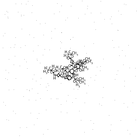 CN(C(=O)OC(C)(C)C)[C@@H]1[C@@H](O)[C@@H](O[C@H]2[C@H](NC(=O)C3(O)CN(C(=O)OC(C)(C)C)C3)C[C@H](NC(=O)OC(C)(C)C)C([C@H]3OC(CNCC4(O)CC(NC(=O)OC(C)(C)C)C4)=CC[C@H]3NC(=O)OC(C)(C)C)[C@@H]2O)OC[C@]1(C)O